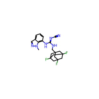 Cn1ncc2cccc(N/C(=N/C#N)NCC34CC5(F)CC(F)(CC(F)(C5)C3)C4)c21